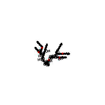 CCCCCC/C=C/CCCC(=O)O[C@H](CCCCCCC)CC(=O)NC(COCC[C@H](O)CCCCCCC)COP(=O)(O)OCCNC(=O)C1OC(C)(C)OC1C(=O)NCCOP(=O)(O)OCC(COCC[C@H](O)CCCCCCC)NC(=O)C[C@H](CCCCCCCCCCC)OC(=O)CCC/C=C/CCCCCC